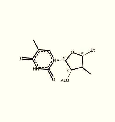 CC[C@H]1O[C@@H](n2cc(C)c(=O)[nH]c2=O)[C@@H](OC(C)=O)C1C